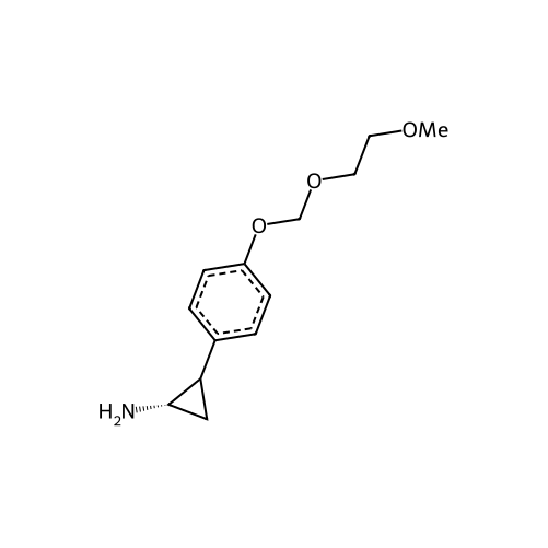 COCCOCOc1ccc(C2C[C@@H]2N)cc1